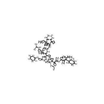 CCCC(NC(=O)[C@@H]1C[C@@H](OCc2ccccc2)CN1C(=O)[C@H](CCCNC(=O)C1CCCC[C@H]1C(=O)O)NC(=O)OCC(C)C)C(=O)C(=O)NCC(=O)N[C@H](C(N)=O)c1ccccc1